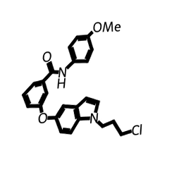 COc1ccc(NC(=O)c2cccc(Oc3ccc4c(ccn4CCCCl)c3)c2)cc1